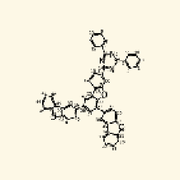 c1ccc(-c2nc(-c3ccccc3)nc(-c3ccc4c(c3)oc3c(-c5ccc6oc7ccccc7c6c5)cc(-c5ccc6oc7ccccc7c6c5)cc34)n2)cc1